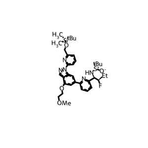 CC[C@@H](F)[C@H](N[S@+]([O-])C(C)(C)C)c1cccc(-c2cc(OCCOC)c3cnn(-c4cccc(CO[Si](C)(C)C(C)(C)C)n4)c3c2)n1